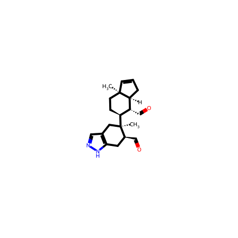 C[C@@]1([C@H]2CC[C@@]3(C)C=CC[C@H]3[C@@H]2C=O)Cc2cn[nH]c2C[C@@H]1C=O